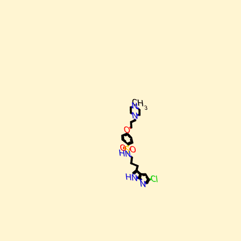 CN1CCN(CCCOc2ccc(S(=O)(=O)NCCCc3c[nH]c4ncc(Cl)cc34)cc2)CC1